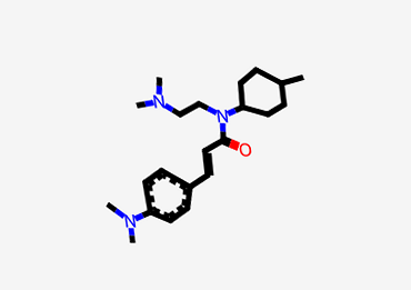 CC1CCC(N(CCN(C)C)C(=O)C=Cc2ccc(N(C)C)cc2)CC1